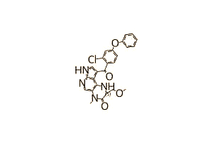 COC[C@]1(C)Nc2c(cnc3[nH]cc(C(=O)c4ccc(Oc5ccccc5)cc4Cl)c23)N(C)C1=O